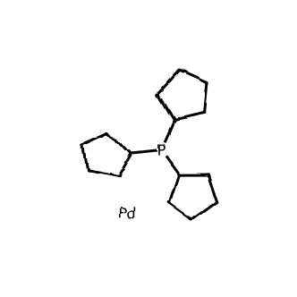 C1CCC(P(C2CCCC2)C2CCCC2)C1.[Pd]